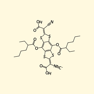 [C-]#[N+]C(C(=O)O)=C1Sc2c(OC(=O)C(CC)CCCC)c3c(c(OC(=O)C(CC)CCCC)c2S1)SC(=C(C#N)C(=O)O)S3